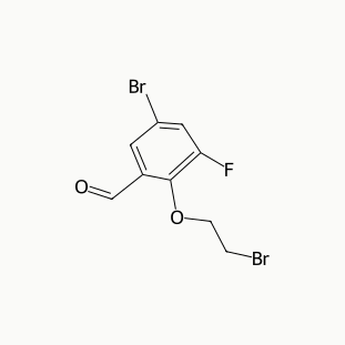 O=Cc1cc(Br)cc(F)c1OCCBr